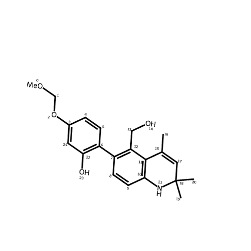 COCOc1ccc(-c2ccc3c(c2CO)C(C)=CC(C)(C)N3)c(O)c1